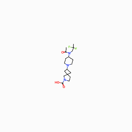 CC(=O)N(CC(C)(F)F)C1CCN(C2CC3(CCN(C(=O)O)C3)C2)CC1